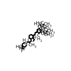 C=C1/C(=C\C=C2/CCC[C@]3(C)[C@@H]([C@H](C)CN4CCC(O)(C(F)(F)F)CC4)CC[C@@H]23)CC(O[Si](C)(C)C(C)(C)C)CC1O[Si](C)(C)C(C)(C)C